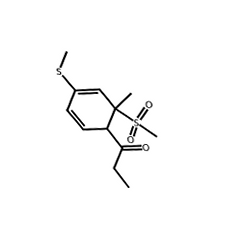 CCC(=O)C1C=CC(SC)=CC1(C)S(C)(=O)=O